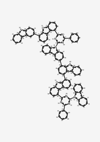 c1ccc(-c2nc(-c3cccc4oc5c(-c6ccc7sc8ccccc8c7c6)cccc5c34)nc(-n3c4ccccc4c4cc(-c5ccc(-c6cccc7c6oc6cccc(-c8nc(-c9ccccc9)nc(-n9c%10ccccc%10c%10ccccc%109)n8)c67)c6c5sc5ccccc56)ccc43)n2)cc1